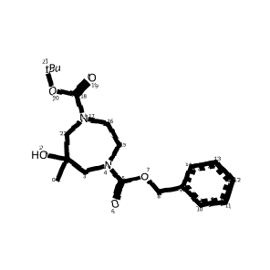 CC1(O)CN(C(=O)OCc2ccccc2)CCN(C(=O)OC(C)(C)C)C1